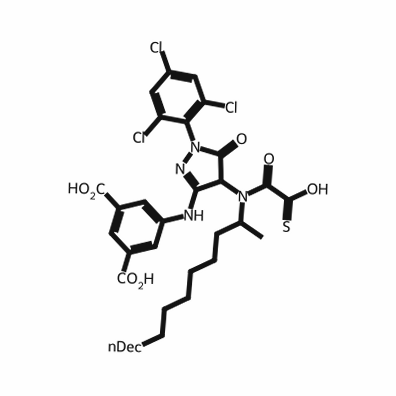 CCCCCCCCCCCCCCCCC(C)N(C(=O)C(O)=S)C1C(=O)N(c2c(Cl)cc(Cl)cc2Cl)N=C1Nc1cc(C(=O)O)cc(C(=O)O)c1